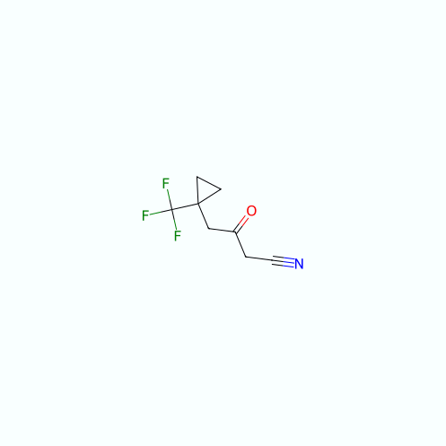 N#CCC(=O)CC1(C(F)(F)F)CC1